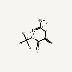 C=C(CC(N)=O)C(=O)OC(C)(C)C